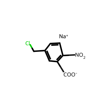 O=C([O-])c1cc(CCl)ccc1[N+](=O)[O-].[Na+]